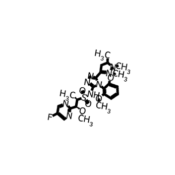 COc1cccc(OC)c1-n1c(NS(=O)(=O)[C@H](C)[C@@H](OC)c2ncc(F)cn2)nnc1C1=NN(C)C(C)C1